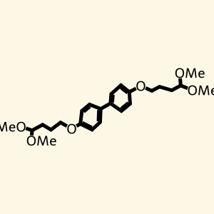 COC(CCCOc1ccc(-c2ccc(OCCCC(OC)OC)cc2)cc1)OC